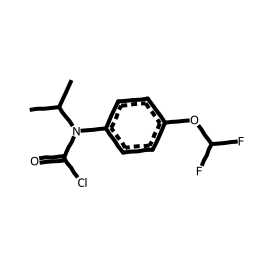 CC(C)N(C(=O)Cl)c1ccc(OC(F)F)cc1